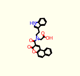 O=C(O)CN(CCc1c[nH]c2ccccc12)C(=O)c1cc2c(ccc3ccccc32)oc1=O